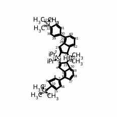 CC(C)[Si]1(C(C)C)C2=Cc3c(-c4ccc([Si](C)(C)C)cc4)cccc3[CH]2[Hf]([CH3])([CH3])[CH]2C1=Cc1c(-c3ccc([Si](C)(C)C)cc3)cccc12